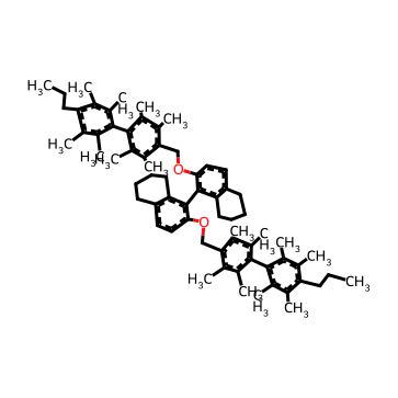 CCCc1c(C)c(C)c(-c2c(C)c(C)c(COc3ccc4c(c3-c3c(OCc5c(C)c(C)c(-c6c(C)c(C)c(CCC)c(C)c6C)c(C)c5C)ccc5c3CCCC5)CCCC4)c(C)c2C)c(C)c1C